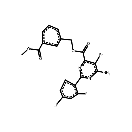 COC(=O)c1cccc(COC(=O)c2nc(-c3ccc(Cl)cc3F)nc(N)c2Br)c1